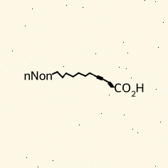 CCCCCCCCCCCCCCCCC#CC#CC(=O)O